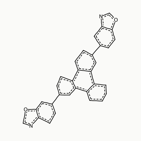 c1ccc2c(c1)c1cc(-c3ccc4ocnc4c3)ccc1c1ccc(-c3ccc4ncoc4c3)cc21